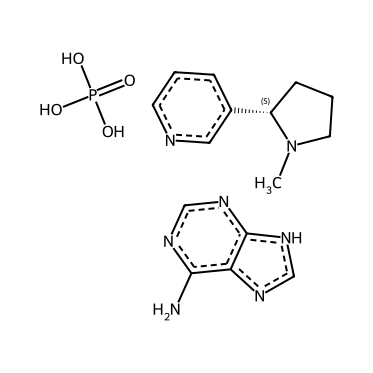 CN1CCC[C@H]1c1cccnc1.Nc1ncnc2[nH]cnc12.O=P(O)(O)O